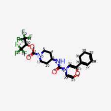 O=C(NC1CCN(C(=O)OC(C(F)(F)F)C(F)(F)F)CC1)N1C=COC(C2=CC=CCC2)=C1